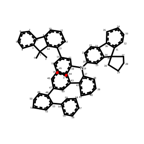 CC1(C)c2ccccc2-c2cccc(-c3cccc(N(c4ccc5c(c4)C4(CCCC4)c4ccccc4-5)c4ccccc4-c4cccc(-c5ccccc5-c5ccccc5)c4)c3)c21